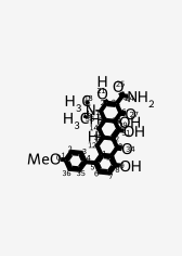 COc1ccc(-c2ccc(O)c3c2C[C@H]2C[C@H]4[C@H](N(C)C)C(O)=C(C(N)=O)C(=O)[C@@]4(O)C(O)=C2C3=O)cc1